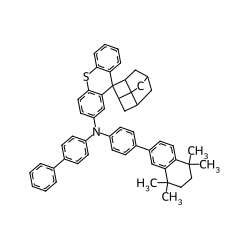 CC1(C)CCC(C)(C)c2cc(-c3ccc(N(c4ccc(-c5ccccc5)cc4)c4ccc5c(c4)C4(c6ccccc6S5)C5CC6CC7CC4C75C6)cc3)ccc21